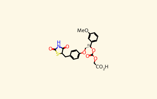 COc1cccc([C@@H](COc2ccc(CC3SC(=O)NC3=O)cc2)OC(=O)OCC(=O)O)c1